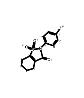 O=C1C2=C(CCCC2)S(=O)(=O)N1c1ccc(F)cc1